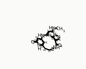 CNc1cc2nc3c(cnn13)C(=O)NCCCc1cc(cc(=O)[nH]1)N2